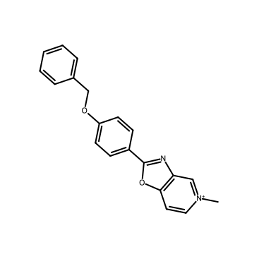 C[n+]1ccc2oc(-c3ccc(OCc4ccccc4)cc3)nc2c1